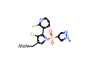 CNCc1cn(S(=O)(=O)c2cnn(C)c2)c(-c2cccnc2F)c1F